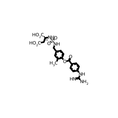 Cc1cc(CNS(=O)(=O)N[C@@H](CC(=O)O)C(=O)O)ccc1OC(=O)c1ccc(NC(=N)N)cc1